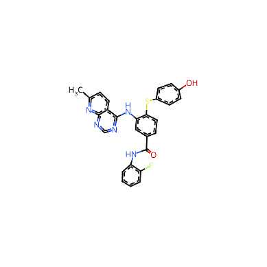 Cc1ccc2c(Nc3cc(C(=O)Nc4ccccc4F)ccc3Sc3ccc(O)cc3)ncnc2n1